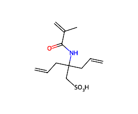 C=CCC(CC=C)(CS(=O)(=O)O)NC(=O)C(=C)C